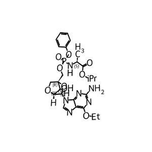 CCOc1nc(N)nc2c1ncn2[C@@H]1O[C@@]2(COP(=O)(N[C@@H](C)C(=O)OC(C)C)Oc3ccccc3)CO[C@@H]1[C@@H]2O